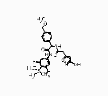 COCc1ccc(C(NC(=O)Cc2cc(O)no2)C(=O)Nc2cc(F)c(S(C)(C)C)c(F)c2)cc1